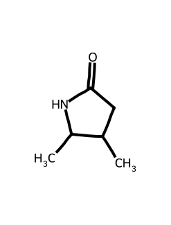 CC1CC(=O)NC1C